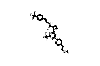 NCCC1CCN(c2cc(N3CC[C@H]3C(=O)NCCc3ccc(C(F)(F)F)cc3)nc(C(F)(F)F)n2)CC1